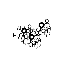 CC(C)(C)c1cccc(C(=O)[O-])c1O.CC(C)(C)c1cccc(C(=O)[O-])c1O.CC(C)(C)c1cccc(C(=O)[O-])c1O.[Al+3]